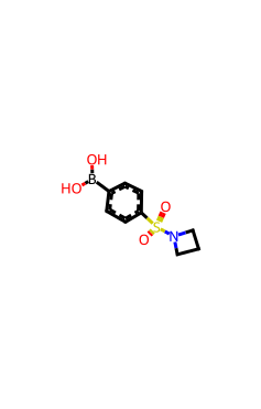 O=S(=O)(c1ccc(B(O)O)cc1)N1CCC1